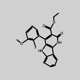 CCOC(=O)c1c(-c2cccc(OC)c2F)c2[nH]c3ccccc3c2[nH]c1=O